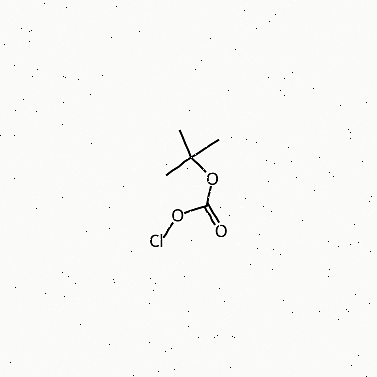 CC(C)(C)OC(=O)OCl